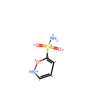 NS(=O)(=O)C1=CC=CNO1